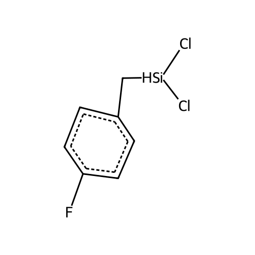 Fc1ccc(C[SiH](Cl)Cl)cc1